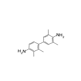 Cc1cc(-c2ccc(N)c(C)c2C)cc(C)c1N